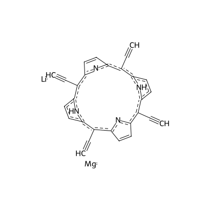 C#Cc1c2nc(c(C#C)c3ccc([nH]3)c(C#C)c3nc(c(C#C)c4ccc1[nH]4)C=C3)C=C2.[Li].[Mg]